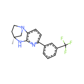 C[C@]12CCN(C1)c1ccc(-c3cccc(C(F)(F)F)c3)nc1N2